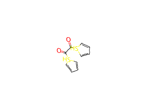 O=C(C(=O)[SH]1C=CC=C1)[SH]1C=CC=C1